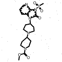 COC(=O)N1CCC(N2CCC(n3c(=O)n(S(C)(=O)=O)c4ncccc43)CC2)CC1